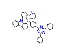 c1ccc(-c2nc(-c3ccccc3)nc(-c3ccc(C4(c5cccnc5)c5ccccc5-n5c6ccccc6c6cccc4c65)cc3)n2)cc1